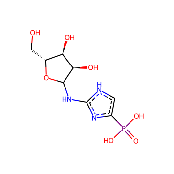 O=P(O)(O)c1c[nH]c(NC2O[C@H](CO)[C@@H](O)[C@H]2O)n1